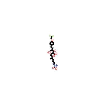 COC(=O)N/C=C/CCC(C)c1cc(O)c(C(=O)C(C)[C@H](C)Cc2ccc(OCC(F)F)cc2)c(=O)o1